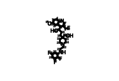 COc1ccc2ncc(CF)c([C@H](O)CCC3(CO)CCN(CCNc4cc(F)cc(F)c4F)CC3)c2c1